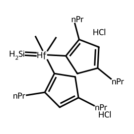 CCCC1=CC(CCC)=[C]([Hf]([CH3])([CH3])(=[SiH2])[C]2=C(CCC)C=C(CCC)C2)C1.Cl.Cl